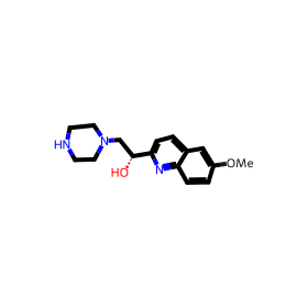 COc1ccc2nc([C@H](O)CN3CCNCC3)ccc2c1